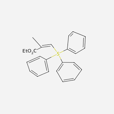 CCOC(=O)C(C)=CS(c1ccccc1)(c1ccccc1)c1ccccc1